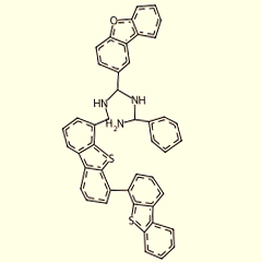 NC(NC(NCc1cccc2c1sc1c(-c3cccc4c3sc3ccccc34)cccc12)c1ccc2oc3ccccc3c2c1)c1ccccc1